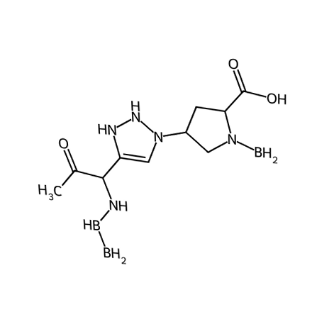 BBNC(C(C)=O)C1=CN(C2CC(C(=O)O)N(B)C2)NN1